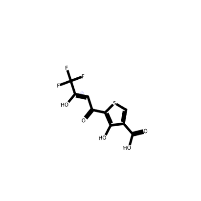 O=C(O)c1csc(C(=O)/C=C(\O)C(F)(F)F)c1O